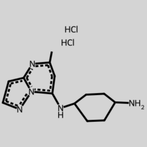 Cc1cc(NC2CCC(N)CC2)n2nccc2n1.Cl.Cl